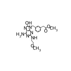 COCCNc1nc(N)c2nc(O)n(Cc3cccc(CC(=O)OC)c3)c2n1